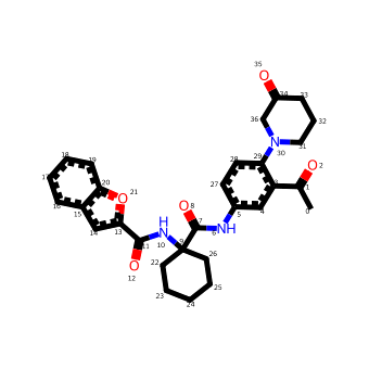 CC(=O)c1cc(NC(=O)C2(NC(=O)c3cc4ccccc4o3)CCCCC2)ccc1N1CCCC(=O)C1